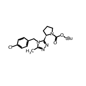 Cc1nnc([C@H]2CCCN2C(=O)OC(C)(C)C)n1Cc1ccc(Cl)cc1